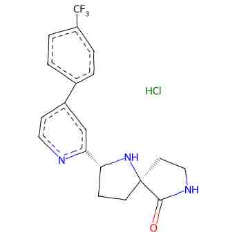 Cl.O=C1NCC[C@@]12CC[C@H](c1cc(-c3ccc(C(F)(F)F)cc3)ccn1)N2